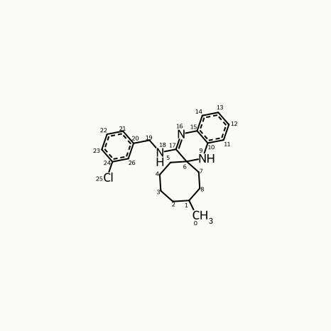 CC1CCCCC2(CC1)Nc1ccccc1N=C2NCc1cccc(Cl)c1